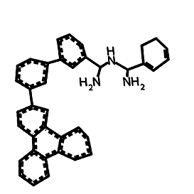 NC(NC(N)c1cccc(-c2cccc(-c3ccc4c5ccccc5c5ccccc5c4c3)c2)c1)C1=CC=CCC1